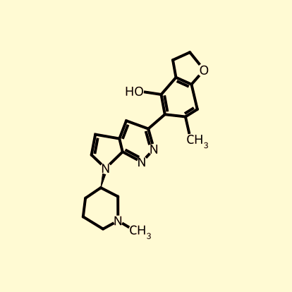 Cc1cc2c(c(O)c1-c1cc3ccn([C@@H]4CCCN(C)C4)c3nn1)CCO2